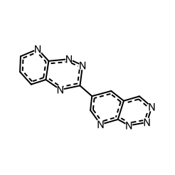 c1cnc2nnc(-c3cnc4nnncc4c3)nc2c1